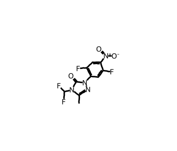 Cc1nn(-c2cc(F)c([N+](=O)[O-])cc2F)c(=O)n1C(F)F